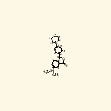 CN(C)c1ccc2c(c1)C(=O)OC2c1ccc(N2CCOCC2)cc1